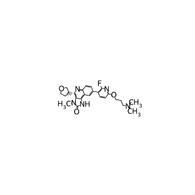 CN(C)CCCOc1ccc(-c2ccc3nc([C@@H]4CCOC4)c4c([nH]c(=O)n4C)c3c2)c(F)n1